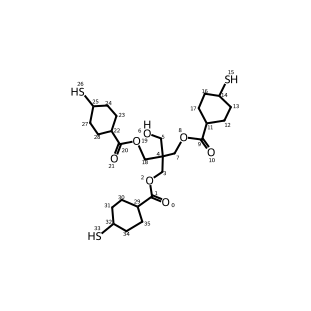 O=C(OCC(CO)(COC(=O)C1CCC(S)CC1)COC(=O)C1CCC(S)CC1)C1CCC(S)CC1